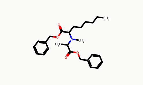 CCCCCCC(C(=O)OCc1ccccc1)N(C)C(C)C(=O)OCc1ccccc1